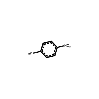 C[C]Cc1ccc([N+](=O)[O-])cc1